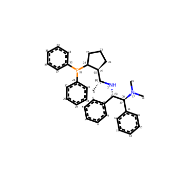 C[C@@H](N[C@@H](c1ccccc1)[C@H](c1ccccc1)N(C)C)[C@@H]1CCCC1P(c1ccccc1)c1ccccc1